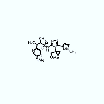 COCC1(n2c(NS(=O)(=O)C(C)C(C)c3cnc(OC)cn3)nnc2-c2ccn(C)n2)CC1